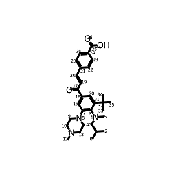 CC(C)CN(C)c1c(N2CCN(C)CC2)cc(C(=O)C=Cc2ccc(C(=O)O)cc2)cc1C(C)(C)C